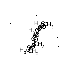 C=C(C)C(=O)OCOc1ccc(CCC(=O)OC2CCC(OC(=O)CCc3ccc(OCOC(=O)C(=C)C)cc3C)CC2)c(C)c1